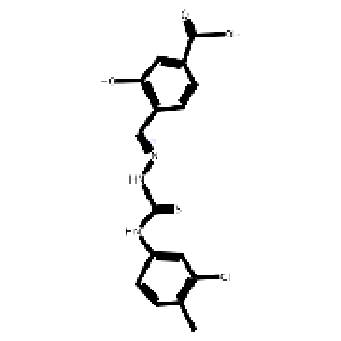 Cc1ccc(NC(=S)N/N=C/c2ccc(C(=O)O)cc2O)cc1Cl